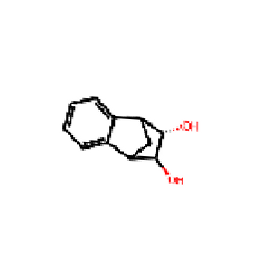 OC1C2CC(c3ccccc32)[C@@H]1O